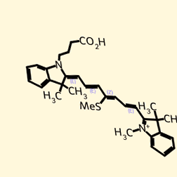 CSC(=C\C=C\C1=[N+](C)c2ccccc2C1(C)C)/C=C/C=C1/N(CCCC(=O)O)c2ccccc2C1(C)C